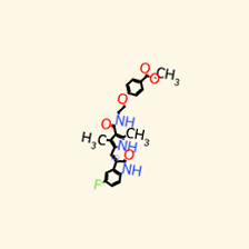 COC(=O)c1ccc(OCCNC(=O)c2c(C)[nH]c(/C=C3\C(=O)Nc4ccc(F)cc43)c2C)cc1